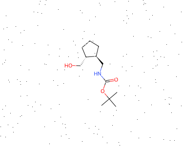 CC(C)(C)OC(=O)NC[C@@H]1CCC[C@H]1CO